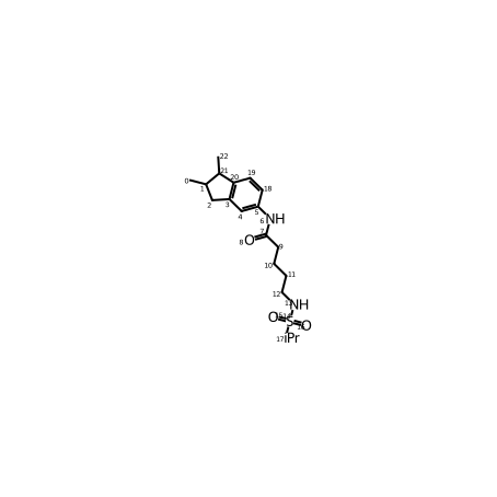 CC1Cc2cc(NC(=O)CCCCNS(=O)(=O)C(C)C)ccc2C1C